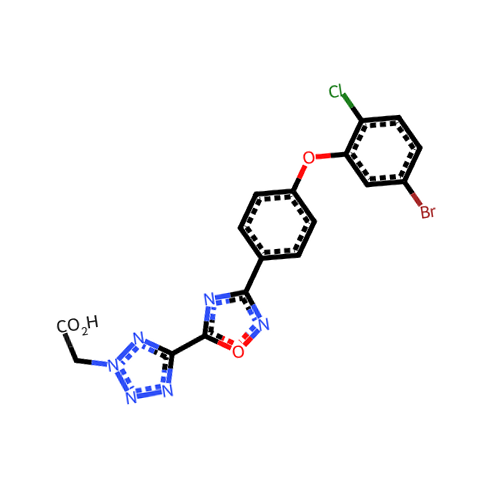 O=C(O)Cn1nnc(-c2nc(-c3ccc(Oc4cc(Br)ccc4Cl)cc3)no2)n1